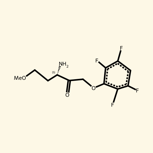 COCC[C@H](N)C(=O)COc1c(F)c(F)cc(F)c1F